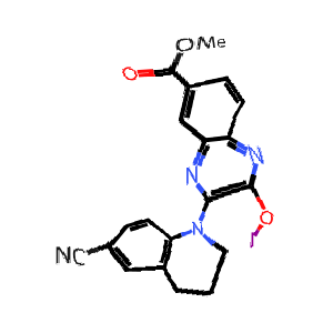 COC(=O)c1ccc2nc(OI)c(N3CCCc4cc(C#N)ccc43)nc2c1